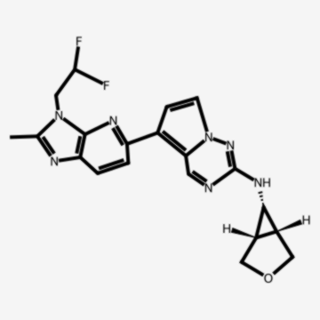 Cc1nc2ccc(-c3ccn4nc(N[C@@H]5[C@@H]6COC[C@@H]65)ncc34)nc2n1CC(F)F